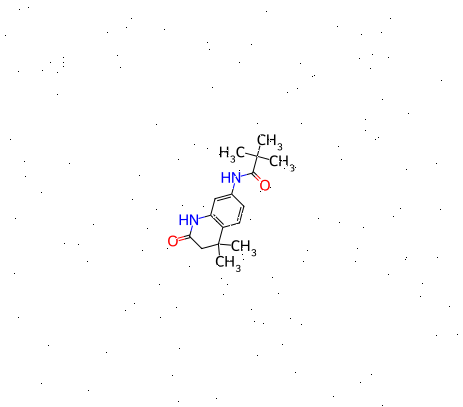 CC(C)(C)C(=O)Nc1ccc2c(c1)NC(=O)CC2(C)C